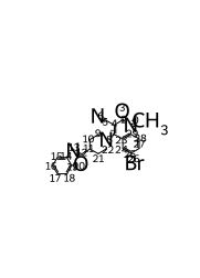 Cn1c(=O)c(C#N)c(N2CCC(c3nc4ccccc4o3)CC2)c2cc(Br)ccc21